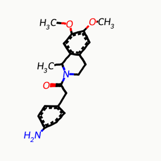 COc1cc2c(cc1OC)C(C)N(C(=O)Cc1ccc(N)cc1)CC2